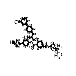 CC(C)(C)OC(=O)NC[C@H]1CC[C@H](C(=O)N(C(=O)[C@@H](N)Cc2ccc(-c3cncc(Cl)c3)cc2)c2ccc(-c3nn[nH]n3)cc2)CC1